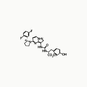 CCOC(=O)C(Cc1ccc(O)cc1)NC(=O)Nc1cnn2ccc(N3CCC[C@@H]3c3cc(F)ccc3F)nc12